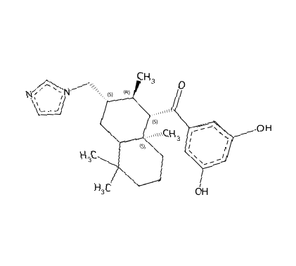 C[C@@H]1[C@@H](Cn2ccnc2)CC2C(C)(C)CCC[C@]2(C)[C@H]1C(=O)c1cc(O)cc(O)c1